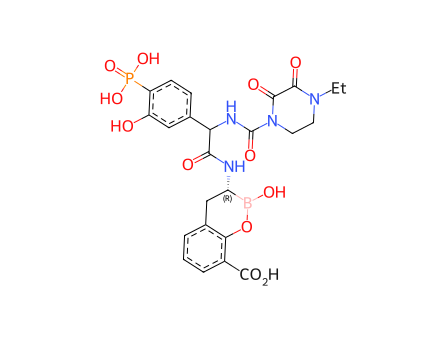 CCN1CCN(C(=O)NC(C(=O)N[C@H]2Cc3cccc(C(=O)O)c3OB2O)c2ccc(P(=O)(O)O)c(O)c2)C(=O)C1=O